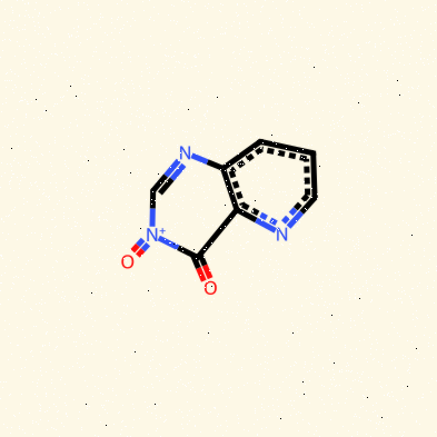 O=C1c2ncccc2N=C[N+]1=O